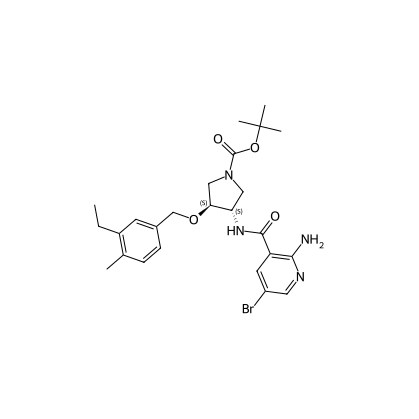 CCc1cc(CO[C@H]2CN(C(=O)OC(C)(C)C)C[C@@H]2NC(=O)c2cc(Br)cnc2N)ccc1C